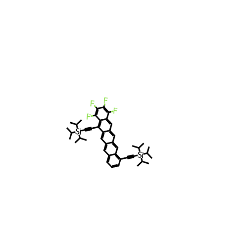 CC(C)[Si](C#Cc1cccc2cc3cc4c(C#C[Si](C(C)C)(C(C)C)C(C)C)c5c(F)c(F)c(F)c(F)c5cc4cc3cc12)(C(C)C)C(C)C